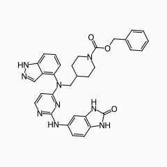 O=C(OCc1ccccc1)N1CCC(CN(c2ccnc(Nc3ccc4[nH]c(=O)[nH]c4c3)n2)c2cccc3[nH]ncc23)CC1